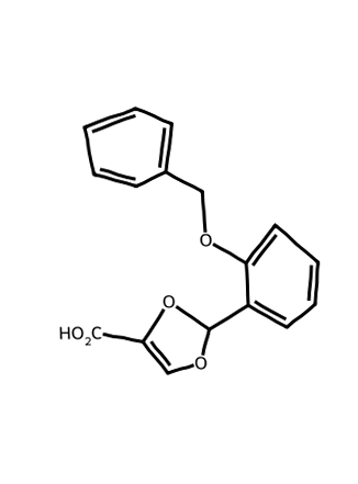 O=C(O)C1=COC(c2ccccc2OCc2ccccc2)O1